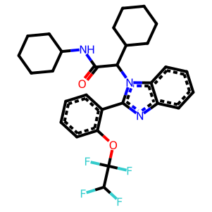 O=C(NC1CCCCC1)C(C1CCCCC1)n1c(-c2ccccc2OC(F)(F)C(F)F)nc2ccccc21